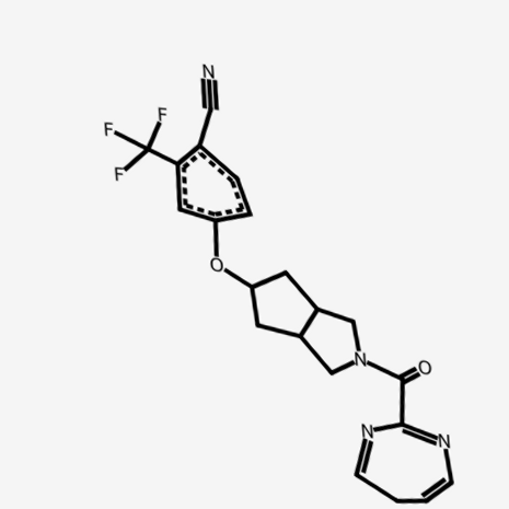 N#Cc1ccc(OC2CC3CN(C(=O)C4=NC=CCC=N4)CC3C2)cc1C(F)(F)F